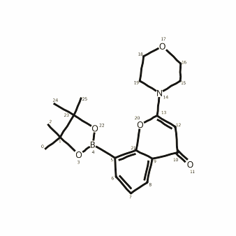 CC1(C)OB(c2cccc3c(=O)cc(N4CCOCC4)oc23)OC1(C)C